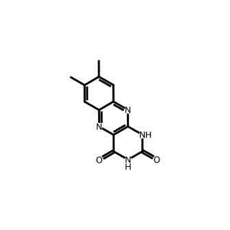 Cc1cc2nc3[nH]c(=O)[nH]c(=O)c3nc2cc1C